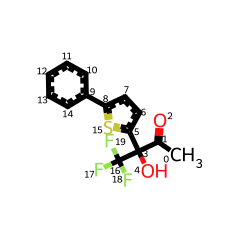 CC(=O)C(O)(c1ccc(-c2ccccc2)s1)C(F)(F)F